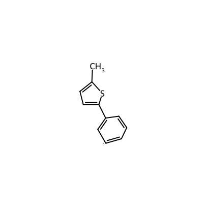 Cc1ccc(-c2c[c]ccc2)s1